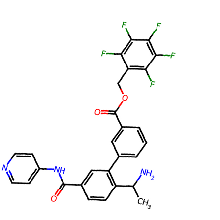 CC(N)c1ccc(C(=O)Nc2ccncc2)cc1-c1cccc(C(=O)OCc2c(F)c(F)c(F)c(F)c2F)c1